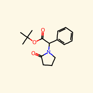 CC(C)(C)OC(=O)C(c1ccccc1)N1CCCC1=O